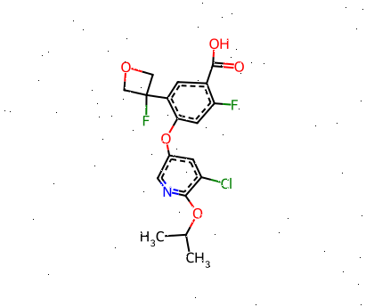 CC(C)Oc1ncc(Oc2cc(F)c(C(=O)O)cc2C2(F)COC2)cc1Cl